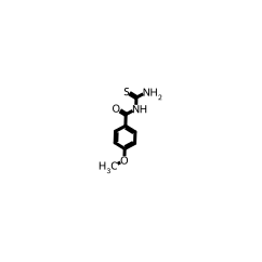 COc1ccc(C(=O)NC(N)=S)cc1